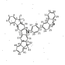 CC1(C)c2ccccc2-c2cc3c4cc5c(cc4n(-c4ccc(-c6ccc7sc8ccccc8c7c6)cc4)c3cc21)C(C)(C)c1ccccc1-5